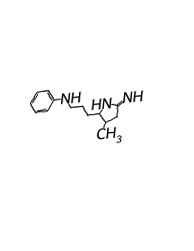 CC1CC(=N)NC1CCCNc1ccccc1